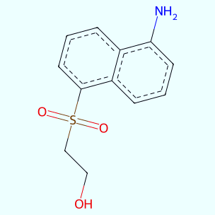 Nc1cccc2c(S(=O)(=O)CCO)cccc12